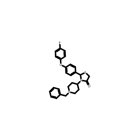 O=C1CSC(c2ccc(Oc3ccc(F)cc3)cc2)N1C1CCN(Cc2ccccc2)CC1